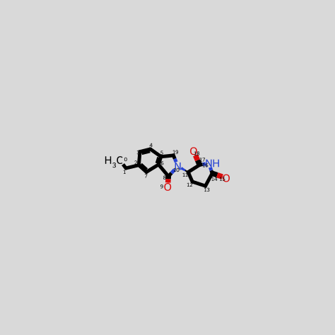 CCc1ccc2c(c1)C(=O)N([C@@H]1CCC(=O)NC1=O)C2